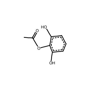 CC(=O)Oc1c(O)cccc1O